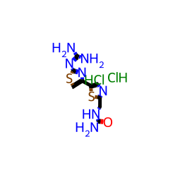 Cl.Cl.NC(=O)NCc1ncc(-c2csc(N=C(N)N)n2)s1